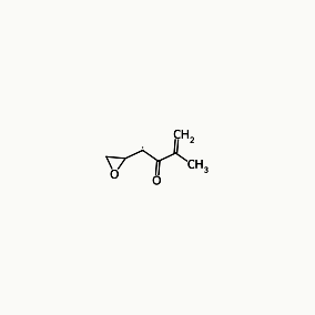 C=C(C)C(=O)[CH]C1CO1